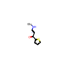 CC(C)(C)N/C=C/C(=O)c1cccs1